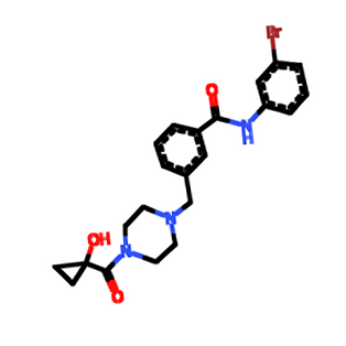 O=C(Nc1cccc(Br)c1)c1cccc(CN2CCN(C(=O)C3(O)CC3)CC2)c1